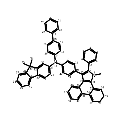 Cn1c(-c2ccccc2)c(-c2ccc(N(c3ccc(-c4ccccc4)cc3)c3ccc4c(c3)C(C)(C)c3ccccc3-4)cc2)c2c3ccccc3c3c(c21)=CCCC=3